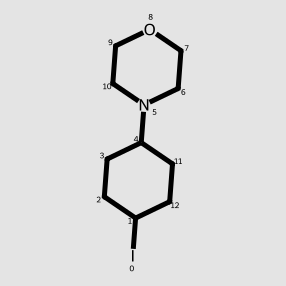 IC1CCC(N2CCOCC2)CC1